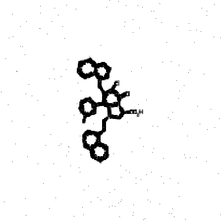 Cc1cccc(-c2c(Cc3cccc4ccccc34)c(Cl)c(=O)n3c2N(CCc2cccc4ccccc24)CC3C(=O)O)c1